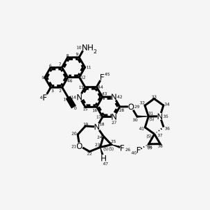 C#Cc1c(F)ccc2cc(N)cc(-c3ncc4c(N5CCOC[C@@H]6C5[C@H]6F)nc(OC[C@@]56CCCN5C[C@@]5(C[C@@H]5F)C6)nc4c3F)c12